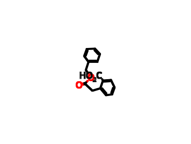 O=C(Cc1ccccc1C(=O)O)OCc1ccccc1